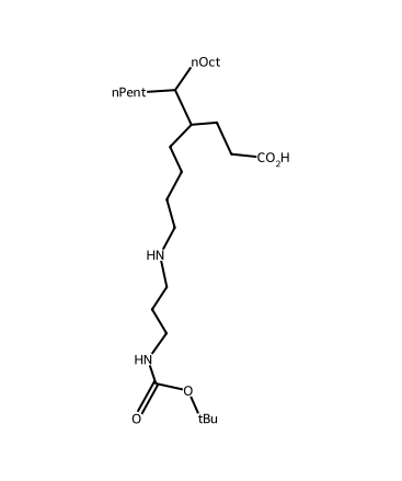 CCCCCCCCC(CCCCC)C(CCCCNCCCNC(=O)OC(C)(C)C)CCC(=O)O